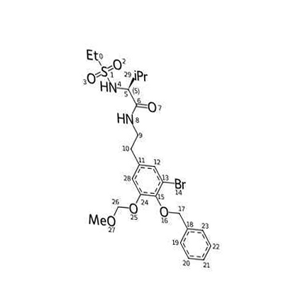 CCS(=O)(=O)N[C@H](C(=O)NCCc1cc(Br)c(OCc2ccccc2)c(OCOC)c1)C(C)C